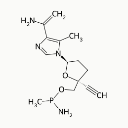 C#C[C@@]1(COP(C)N)CC[C@H](n2cnc(C(=C)N)c2C)O1